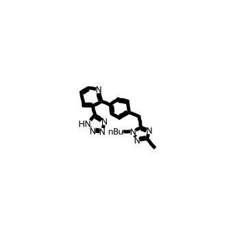 CCCCn1nc(C)nc1Cc1ccc(-c2ncccc2-c2nnn[nH]2)cc1